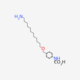 NCCCCCCCCCCCCOCc1ccc(NC(=O)O)cc1